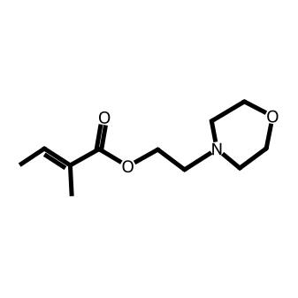 C/C=C(\C)C(=O)OCCN1CCOCC1